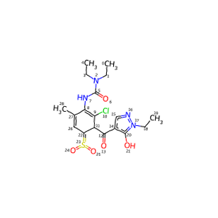 CCN(CC)C(=O)NC1=C(Cl)C(C(=O)c2cnn(CC)c2O)C(=S(=O)=O)C=C1C